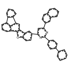 c1ccc(-c2ccc(-c3nc(-c4ccc5ccccc5c4)cc(-c4ccc5oc6c7cccc8c7c(cc6c5c4)-c4ccccc4-8)n3)cc2)cc1